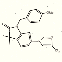 COc1ccc(CN2C(=O)C(C)(C)c3ccc(-n4cnc(C(F)(F)F)c4)cc32)cc1